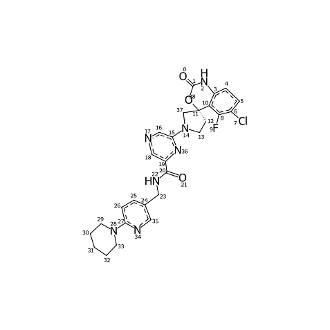 O=C1Nc2ccc(Cl)c(F)c2[C@]2(CCN(c3cncc(C(=O)NCc4ccc(N5CCCCC5)nc4)n3)C2)O1